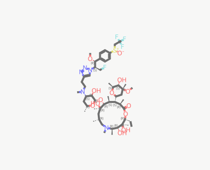 CC[C@H]1OC(=O)[C@H](C)[C@@H](C2C[C@@](C)(OC)[C@@H](O)[C@H](C)O2)[C@H](C)[C@@H](O[C@@H]2O[C@H](C)C[C@H](N(C)CCc3cn([C@H](CF)[C@H](OC)c4ccc([S+]([O-])CC(F)(F)F)cc4)nn3)[C@H]2O)[C@](C)(O)C[C@@H](C)CN(C)[C@H](C)[C@@H](O)[C@]1(C)O